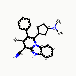 Cc1c(-c2ccccc2)c(C2CCC(N(C)C)C2)n2c(nc3ccccc32)c1C#N